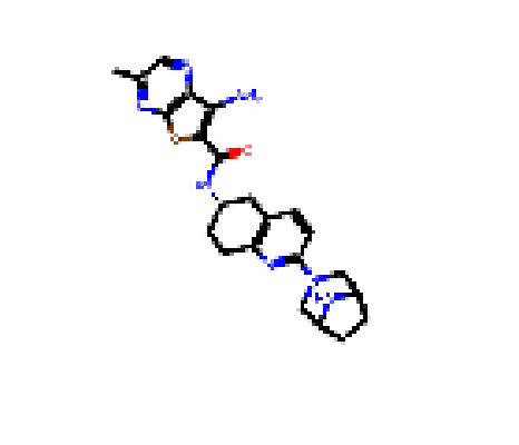 Cc1cnc2c(N)c(C(=O)N[C@H]3CCc4nc(N5CC6CCC(C5)N6)ccc4C3)sc2n1